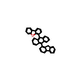 c1ccc2c(c1)Cc1c-2cccc1-c1c2ccccc2c(-c2cccc3c2oc2ccccc23)c2ccccc12